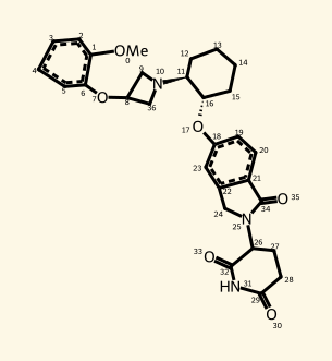 COc1ccccc1OC1CN([C@H]2CCCC[C@@H]2Oc2ccc3c(c2)CN(C2CCC(=O)NC2=O)C3=O)C1